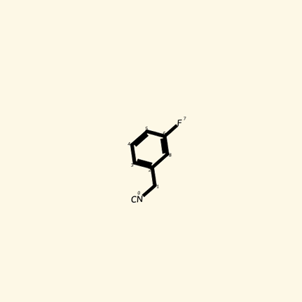 [C-]#[N+]Cc1cccc(F)c1